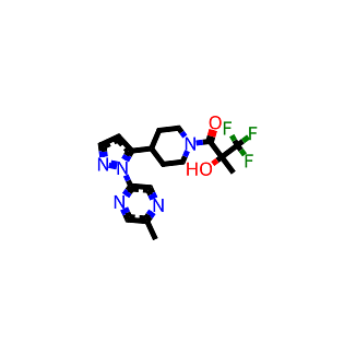 Cc1cnc(-n2nccc2C2CCN(C(=O)C(C)(O)C(F)(F)F)CC2)cn1